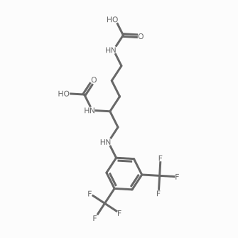 O=C(O)NCCCC(CNc1cc(C(F)(F)F)cc(C(F)(F)F)c1)NC(=O)O